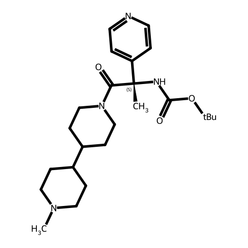 CN1CCC(C2CCN(C(=O)[C@@](C)(NC(=O)OC(C)(C)C)c3ccncc3)CC2)CC1